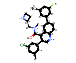 Cc1cc(Cl)cc(-c2cnc3ccc(-c4cc(F)cc(C#N)c4)cc3c2C(=O)N(C)C[C@@H]2CCN2)c1